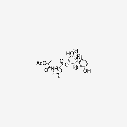 C=C(O[C@@H](C)C(=O)OC1=CC[C@@]2(O)[C@H]3Cc4ccc(O)c5c4[C@@]2(CCN3C)[C@H]1O5)[C@H](C)NC(=O)[C@H](C)OC(C)=O